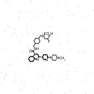 CN1CCN(c2ccc(-c3cc(C(=O)NCC4CCC(CN(CC(F)F)C(=O)O)CC4)c4ccccc4n3)cn2)CC1